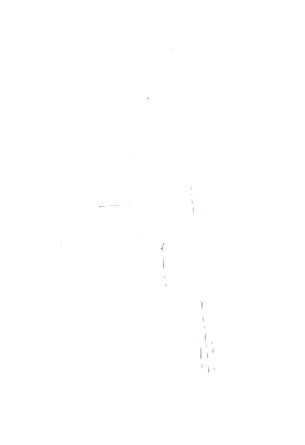 C#CCC(F)C(=O)OC(C)P(=O)(OCC)OCC